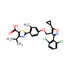 Cc1cc(OCc2c(-c3c(Cl)cccc3Cl)noc2C2CC2)ccc1-c1nc(C(C)C)c(C(=O)O)s1